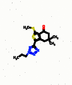 CCCn1nnc(-c2sc(SC)c3c2CC(C)(C)CC3=O)n1